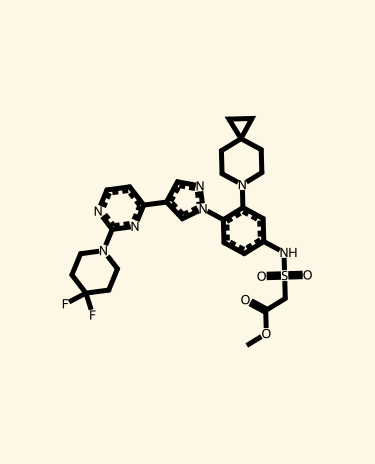 COC(=O)CS(=O)(=O)Nc1ccc(-n2cc(-c3ccnc(N4CCC(F)(F)CC4)n3)cn2)c(N2CCC3(CC2)CC3)c1